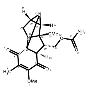 COC1=C(C)C(=O)[C@]23[C@H](C1=O)[C@@H](COC(N)=O)[C@@]1(OC)[C@@H]4[C@H](CN12)N43